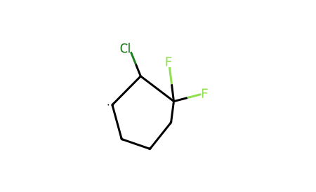 FC1(F)CCC[CH]C1Cl